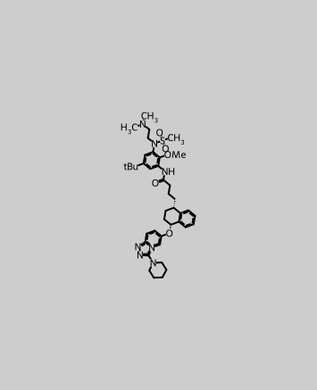 COc1c(NC(=O)CCC[C@H]2CC[C@@H](Oc3ccc4nnc(N5CCCCC5)n4c3)c3ccccc32)cc(C(C)(C)C)cc1N(CCN(C)C)S(C)(=O)=O